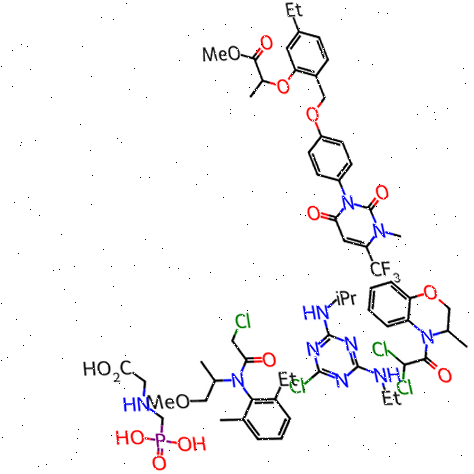 CC1COc2ccccc2N1C(=O)C(Cl)Cl.CCNc1nc(Cl)nc(NC(C)C)n1.CCc1ccc(COc2ccc(-n3c(=O)cc(C(F)(F)F)n(C)c3=O)cc2)c(OC(C)C(=O)OC)c1.CCc1cccc(C)c1N(C(=O)CCl)C(C)COC.O=C(O)CNCP(=O)(O)O